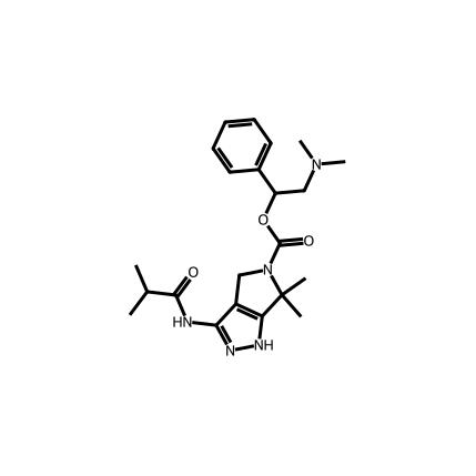 CC(C)C(=O)Nc1n[nH]c2c1CN(C(=O)OC(CN(C)C)c1ccccc1)C2(C)C